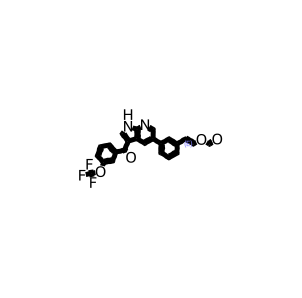 O=CO/C=C/c1cccc(-c2cnc3[nH]cc(C(=O)c4cccc(OC(F)(F)F)c4)c3c2)c1